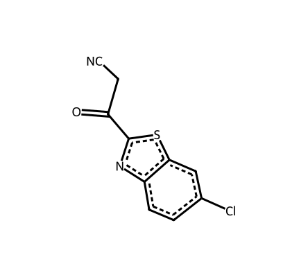 N#CCC(=O)c1nc2ccc(Cl)cc2s1